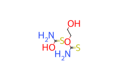 NC(=S)OCCO.NC(O)=S